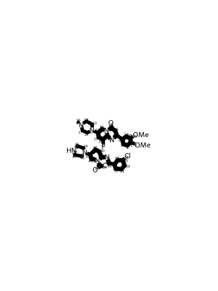 COc1ccc(-c2cc(=O)n3cc(N4CCN(C)CC4)cc(F)c3n2)cc1OC.O=c1cc(-c2cccc(Cl)c2)nc2ccc(N3CCNCC3)cn12